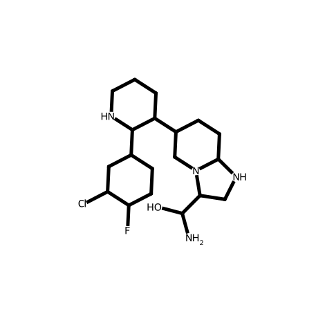 NC(O)C1CNC2CCC(C3CCCNC3C3CCC(F)C(Cl)C3)CN21